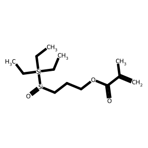 C=C(C)C(=O)OCCC[Si](=O)[Si](CC)(CC)CC